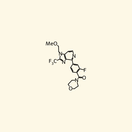 COCCn1c(C(F)(F)F)nc2c(-c3ccc(C(=O)N4CCOCC4)c(F)c3)nccc21